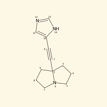 C(#CC12CCCN1CCC2)c1cnc[nH]1